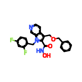 O=C(NO)c1c(COCc2ccccc2)c2ccncc2n1Cc1ccc(F)cc1F